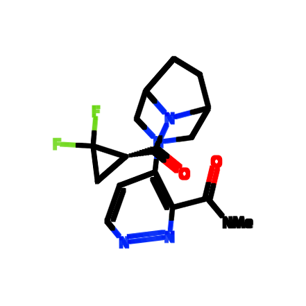 CNC(=O)c1nnccc1N1CC2CCC(C1)N2C(=O)[C@@H]1CC1(F)F